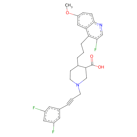 COc1ccc2ncc(F)c(CCCC3CCN(CC#Cc4cc(F)cc(F)c4)CC3C(=O)O)c2c1